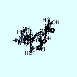 CC(/C=N/NC(=N)N)=N\NC(=N)N.O=C(O)c1nn(Cc2ccc(Cl)cc2Cl)c2ccccc12.O=C1c2c(O)ccc(O)c2C(=O)c2c(NCCNCCO)ccc(NCCNCCO)c21.OCCN(CCO)c1nc(N2CCCCC2)c2nc(N(CCO)CCO)ncc2n1